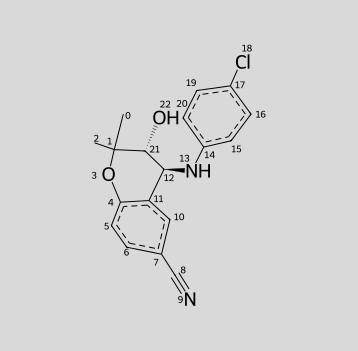 CC1(C)Oc2ccc(C#N)cc2[C@H](Nc2ccc(Cl)cc2)[C@H]1O